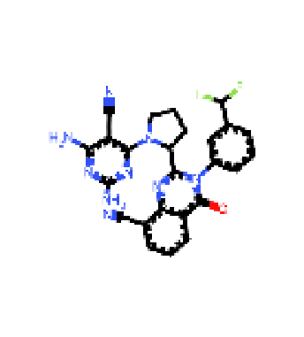 N#Cc1c(N)nc(N)nc1N1CCCC1c1nc2c(C#N)cccc2c(=O)n1-c1cccc(C(F)F)c1